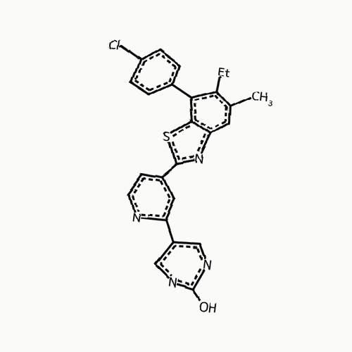 CCc1c(C)cc2nc(-c3ccnc(-c4cnc(O)nc4)c3)sc2c1-c1ccc(Cl)cc1